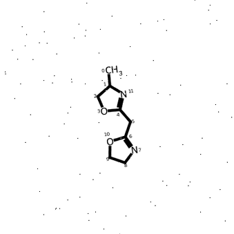 CC1COC(CC2=NCCO2)=N1